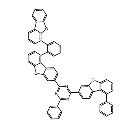 c1ccc(-c2nc(-c3ccc4c(c3)oc3cccc(-c5ccccc5)c34)nc(-c3ccc4c(c3)oc3cccc(-c5ccccc5-c5cccc6c5oc5ccccc56)c34)n2)cc1